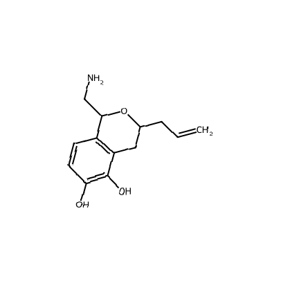 C=CCC1Cc2c(ccc(O)c2O)C(CN)O1